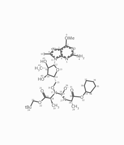 COc1nc(N)nc2c1nc(I)n2[C@@H]1O[C@H](CON([C@@H](C)C(=O)OCC(C)(C)C)/[P+]([O-])=N/[C@@H](C)C(=O)OC2CCCCC2)[C@@H](O)[C@@]1(C)O